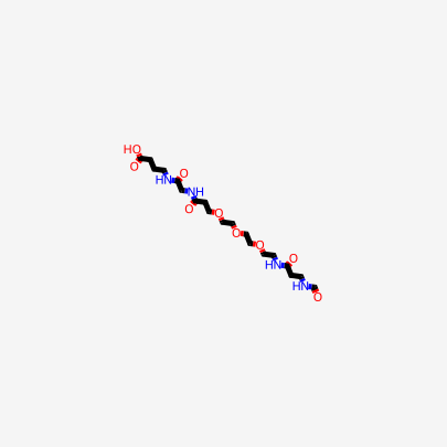 O=CNCCC(=O)NCCOCCOCCOCCC(=O)NCC(=O)NCCCC(=O)O